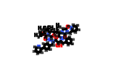 CCC(C)C(C(=O)NC(Cc1ccccc1)C(O)CN(Cc1ccc(-c2ccccn2)cc1)NC(=O)N(CC(C)(C)C)C(=O)OC)N1CC(=O)N(Cc2ccccn2)C1=O